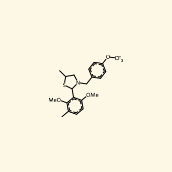 COc1ccc(C)c(OC)c1C1SC(C)CN1Cc1ccc(OC(F)(F)F)cc1